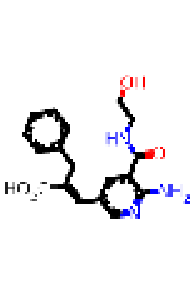 Nc1ncc(C=C(Cc2ccccc2)C(=O)O)cc1C(=O)NCCO